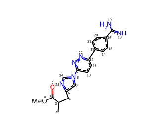 COC(=O)C(C)Cc1cn(-c2ccc(-c3ccc(C(=N)N)cc3)nn2)cn1